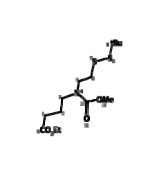 CCOC(=O)CCCN(CCSSC(C)(C)C)C(=O)OC